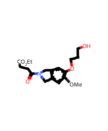 CCOC(=O)CCC(=O)N1Cc2cc(OC)c(OCCCO)cc2C1